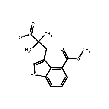 COC(=O)c1cccc2[nH]cc(CC(C)(C)[N+](=O)[O-])c12